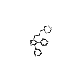 c1ccc(-c2ncn(CCCN3CCSCC3)c2-c2ccccc2)cc1